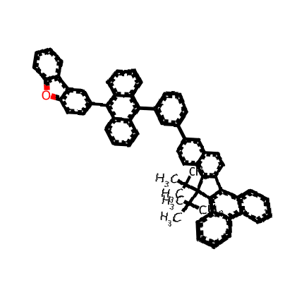 CC(C)(C)C1(C(C)(C)C)c2c(ccc3cc(-c4cccc(-c5c6ccccc6c(-c6ccc7oc8ccccc8c7c6)c6ccccc56)c4)ccc23)-c2c1c1ccccc1c1ccccc21